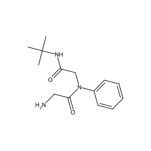 CC(C)(C)NC(=O)CN(C(=O)CN)c1ccccc1